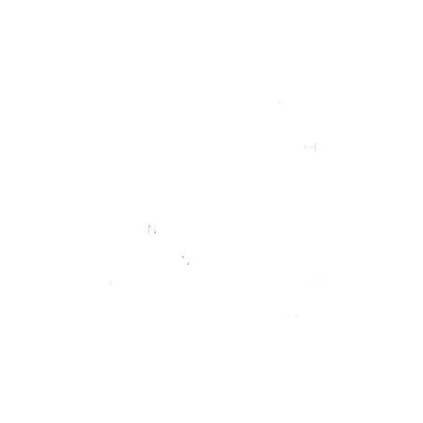 O=C(O)C1CCC(Sc2cn(Cc3cc4c(cc3Cl)OCO4)c(-c3ccco3)n2)CC1